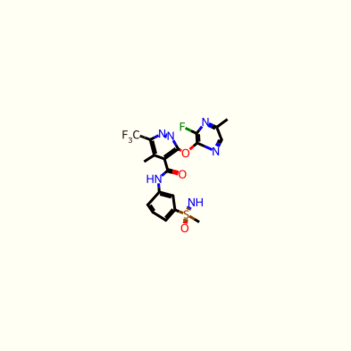 Cc1cnc(Oc2nnc(C(F)(F)F)c(C)c2C(=O)Nc2cccc(S(C)(=N)=O)c2)c(F)n1